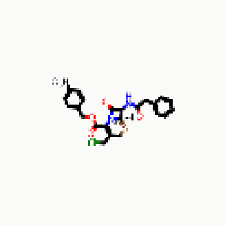 O=C(Cc1ccccc1)NC1C(=O)N2C(C(=O)OCc3ccc([N+](=O)[O-])cc3)=C(CCl)CS[C@H]12